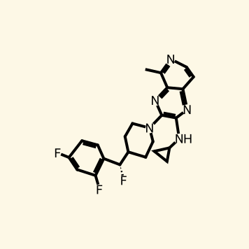 Cc1nccc2nc(NC3CC3)c(N3CCC([C@H](F)c4ccc(F)cc4F)CC3)nc12